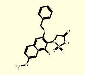 COc1ccc2cc(OCc3ccccc3)c(N3CC(=O)NS3(=O)=O)c(F)c2c1